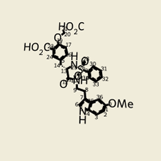 COc1ccc2[nH]cc(CCNC(=O)[C@H](Cc3ccc(OCC(=O)O)c(C(=O)O)c3)NS(=O)(=O)c3ccccc3)c2c1